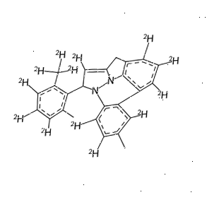 [2H]C1=C2Cc3c([2H])c([2H])c([2H])c4c3N2N(c2c([2H])c([2H])c(C)c([2H])c2-4)C1c1c(C)c([2H])c([2H])c([2H])c1C([2H])([2H])[2H]